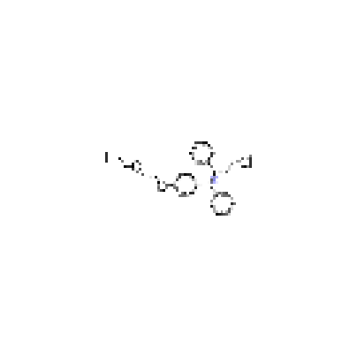 ClCC/C(=C(\c1ccccc1)c1ccc(OCCOCCI)cc1)c1ccccc1